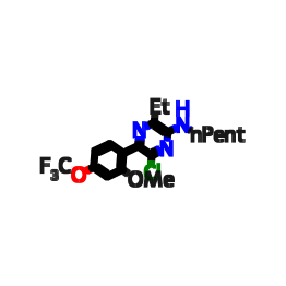 CCCCCNc1nc(Cl)c(-c2ccc(OC(F)(F)F)cc2OC)nc1CC